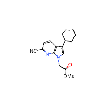 COC(=O)Cn1cc(C2CCCCC2)c2ccc(C#N)nc21